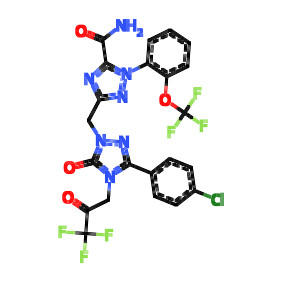 NC(=O)c1nc(Cn2nc(-c3ccc(Cl)cc3)n(CC(=O)C(F)(F)F)c2=O)nn1-c1ccccc1OC(F)(F)F